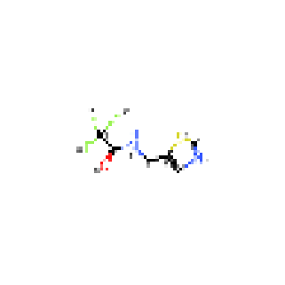 O=C(NCc1cncs1)C(F)(F)F